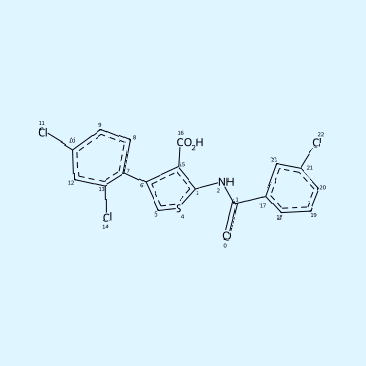 O=C(Nc1scc(-c2ccc(Cl)cc2Cl)c1C(=O)O)c1cccc(Cl)c1